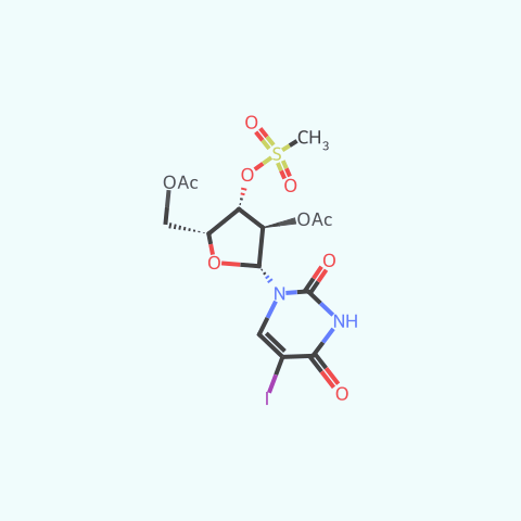 CC(=O)OC[C@H]1O[C@@H](n2cc(I)c(=O)[nH]c2=O)[C@H](OC(C)=O)[C@H]1OS(C)(=O)=O